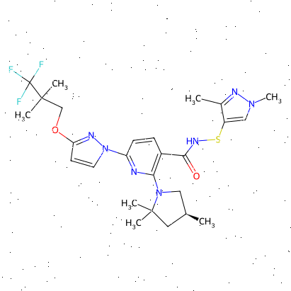 Cc1nn(C)cc1SNC(=O)c1ccc(-n2ccc(OCC(C)(C)C(F)(F)F)n2)nc1N1C[C@@H](C)CC1(C)C